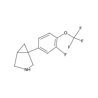 Fc1cc(C23CNCC2C3)ccc1OC(F)(F)F